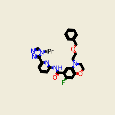 CC(C)n1cnnc1-c1cccc(NC(=O)c2cc3c(cc2F)OCCN3CCOCc2ccccc2)n1